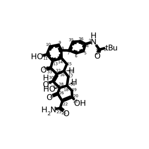 CC(C)(C)C(=O)Nc1ccc(-c2ccc(O)c3c2C[C@H]2C[C@H]4CC(O)=C(C(N)=O)C(=O)[C@@]4(O)C(O)=C2C3=O)cc1